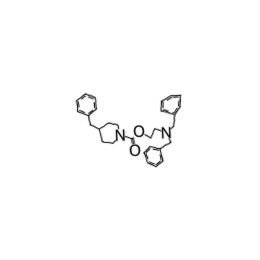 O=C(OCCN(Cc1ccccc1)Cc1ccccc1)N1CCC(Cc2ccccc2)CC1